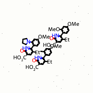 CCc1cc(C(=O)O)c(=O)[nH]c1-c1ccc(OC)cc1C.CCc1cc(C(=O)O)c(=O)[nH]c1-c1ccc(OC)cc1N1CCCC1.CCc1cc(C(=O)O)c(=O)[nH]c1-c1ccc(OC)cc1OC